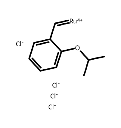 CC(C)Oc1ccccc1[CH]=[Ru+4].[Cl-].[Cl-].[Cl-].[Cl-]